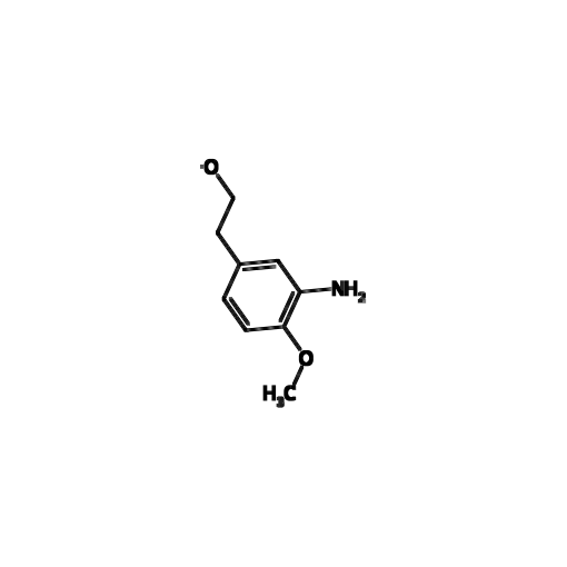 COc1ccc(CC[O])cc1N